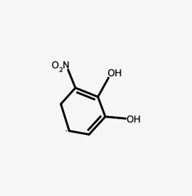 O=[N+]([O-])C1=C(O)C(O)=C[CH]C1